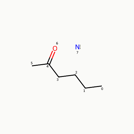 CCCCC(C)=O.[N]